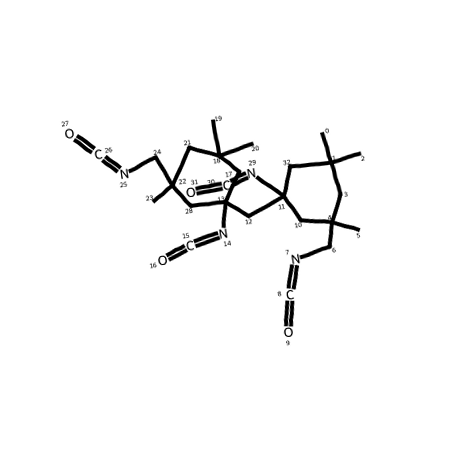 CC1(C)CC(C)(CN=C=O)CC(CC2(N=C=O)CC(C)(C)CC(C)(CN=C=O)C2)(N=C=O)C1